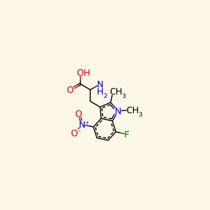 Cc1c(CC(N)C(=O)O)c2c([N+](=O)[O-])ccc(F)c2n1C